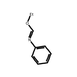 CCO/C=N/c1ccccc1